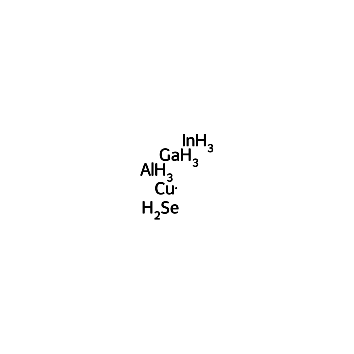 [AlH3].[Cu].[GaH3].[InH3].[SeH2]